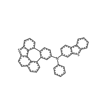 c1ccc(N(c2ccc3c(c2)-c2cccc4ccc5sc6cccc-3c6c5c24)c2ccc3c(c2)sc2ccccc23)cc1